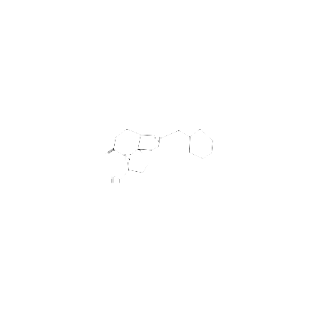 CC(C)C1COC23CCN(CC4CCCCC4)CC2CCC(=O)N13